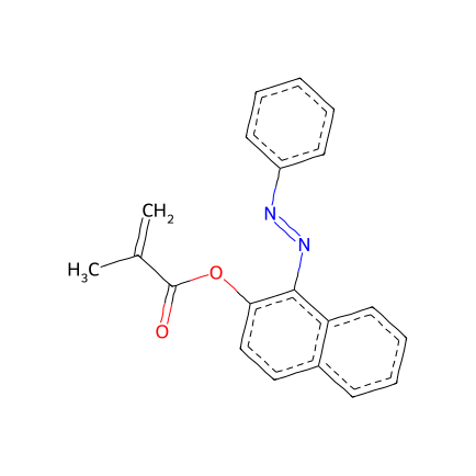 C=C(C)C(=O)Oc1ccc2ccccc2c1N=Nc1ccccc1